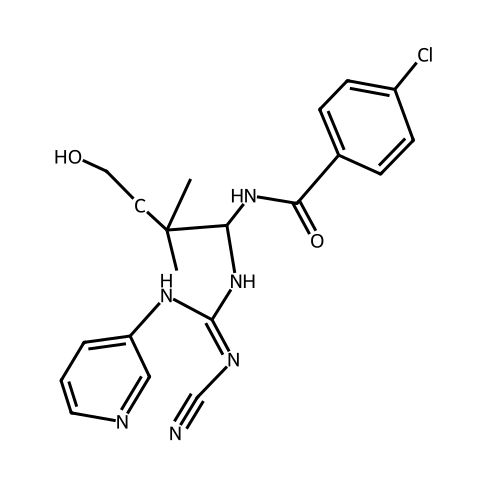 CC(C)(CCO)C(NC(=O)c1ccc(Cl)cc1)N/C(=N/C#N)Nc1cccnc1